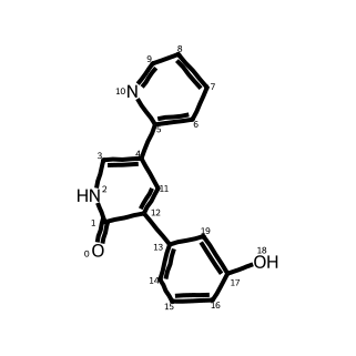 O=c1[nH]cc(-c2ccccn2)cc1-c1cccc(O)c1